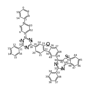 c1ccc(-c2ccc(-c3nc(-c4ccccc4)nc(-c4ccc5c(c4)oc4ccc(-c6nc(-c7ccccc7)nc7c6sc6ccccc67)cc45)n3)cc2)cc1